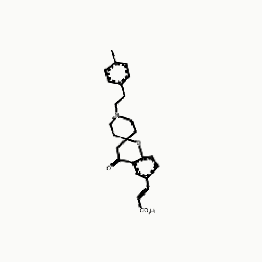 Cc1ccc(CCN2CCC3(CC2)CC(=O)c2cc(C=CC(=O)O)ccc2O3)cc1